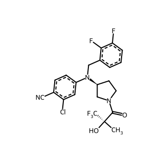 C[C@@](O)(C(=O)N1CC[C@H](N(Cc2cccc(F)c2F)c2ccc(C#N)c(Cl)c2)C1)C(F)(F)F